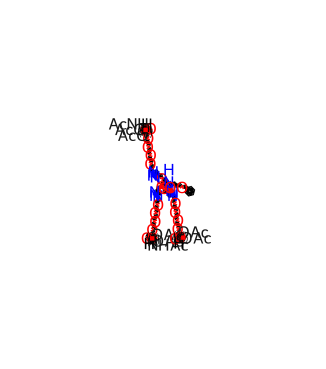 CC(=O)N[C@H]1[C@H]2OC[C@](COCCOCCOCCOCCn3cc(COCC(COCc4cn(CCOCCOCCOCCOC[C@@]56CO[C@@H](O5)[C@H](NC(C)=O)[C@@H](OC(C)=O)[C@H]6OC(C)=O)nn4)(COCc4cn(CCOCCOCCOCCOC[C@]56CO[C@H](C[C@@H](OC(C)=O)[C@H]5OC(C)=O)O6)nn4)NC(=O)CCCOCc4ccccc4)nn3)(O2)[C@H](OC(C)=O)[C@@H]1OC(C)=O